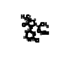 CC(OC(C)(C)C)[C@H]1CN(C)C(=O)N1c1ccnc(Cl)n1